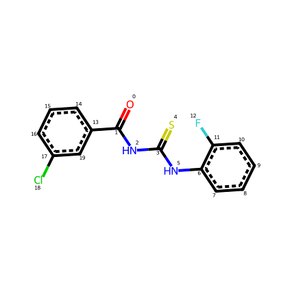 O=C(NC(=S)Nc1ccccc1F)c1cccc(Cl)c1